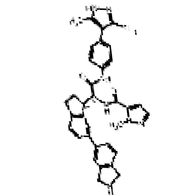 Cc1n[nH]c(C)c1-c1ccc(NC(=O)[C@@H](NC(=O)c2ccnn2C)[C@@H]2CCc3ccc(-c4ccc5c(c4)CNC5)cc32)cc1